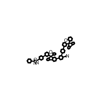 N#Cc1ccc(-c2ccc3c(c2)C2(c4ccccc4Oc4ccc(-c5ccc(-c6nnc(-c7ccccc7)o6)cc5)cc42)c2ccccc2-3)cc1-c1ccc(-c2ccc3c(c2)C2(c4ccccc4O3)c3ccccc3-c3ccccc32)cc1